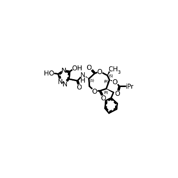 CC(C)C(=O)O[C@H]1[C@H](C)OC(=O)[C@@H](NC(=O)c2nnc(O)nc2O)COC(=O)[C@@H]1Cc1ccccc1